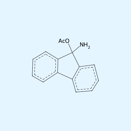 CC(=O)OC1(N)c2ccccc2-c2ccccc21